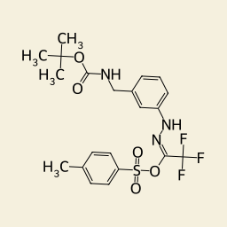 Cc1ccc(S(=O)(=O)OC(=NNc2cccc(CNC(=O)OC(C)(C)C)c2)C(F)(F)F)cc1